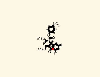 COC(=O)C1=C(OC)N=C(OC)N(C(=O)Oc2ccc([N+](=O)[O-])cc2)C1(C)c1cc(F)cc(F)c1